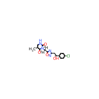 [2H]C([2H])(c1nc(C[C@H](O)c2ccc(Cl)cc2)no1)n1c(=O)[nH]cc(C)c1=O